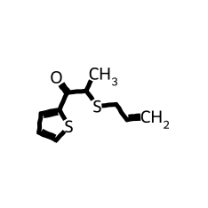 C=CCSC(C)C(=O)c1cccs1